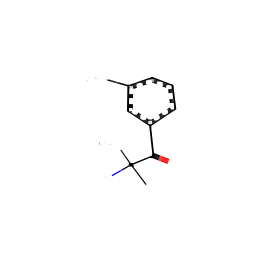 COc1cccc(C(=O)C(C)(N)OC)c1